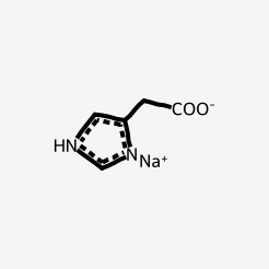 O=C([O-])Cc1c[nH]cn1.[Na+]